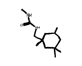 CNC(=O)NCC1(C)CC(C)CC(C)(C)C1